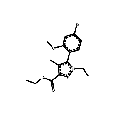 CCOC(=O)c1nn(CC)c(-c2ccc(Br)cc2OC)c1C